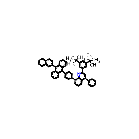 CC(C)(C)c1cc(-c2cc(-c3ccccc3)c3cccc(-c4ccc(-c5c6ccccc6c(-c6ccc7ccccc7c6)c6ccccc56)cc4)c3n2)cc(C(C)(C)C)c1